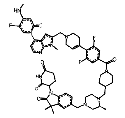 CNc1cc(=O)n(-c2ccnc3c2cc(CN2CC=C(c4c(F)cc(C(=O)N5CCC(CN6CCN(Cc7ccc8c(c7)C(C)(C)C(=O)N8C7CCC(=O)NC7=O)C[C@@H]6C)CC5)cc4F)CC2)n3C)cc1F